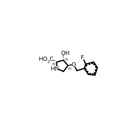 O=C(O)[C@H]1NC[C@H](OCc2ccccc2F)[C@H]1O